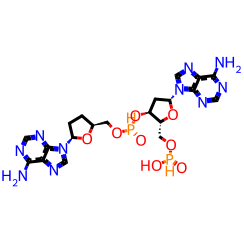 Nc1ncnc2c1ncn2[C@H]1CC[C@@H](CO[PH](=O)O[C@H]2C[C@H](n3cnc4c(N)ncnc43)O[C@@H]2CO[PH](=O)O)O1